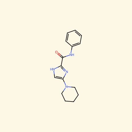 O=C(Nc1ccccc1)c1nc(N2CCCCC2)c[nH]1